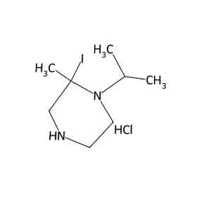 CC(C)N1CCNCC1(C)I.Cl